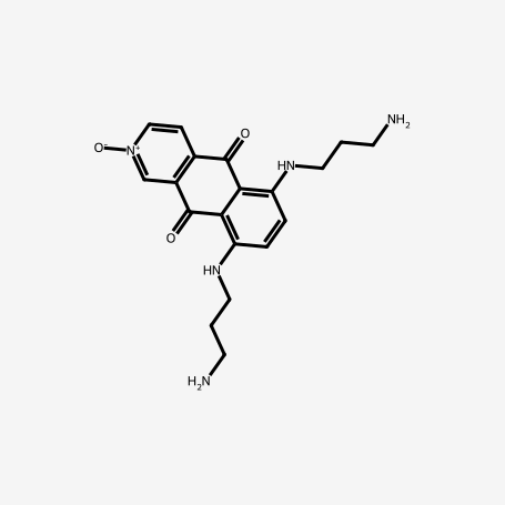 NCCCNc1ccc(NCCCN)c2c1C(=O)c1cc[n+]([O-])cc1C2=O